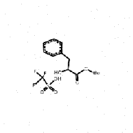 CC(C)(C)OC(=O)C(O)Cc1ccccc1.O=S(=O)(O)C(F)(F)F